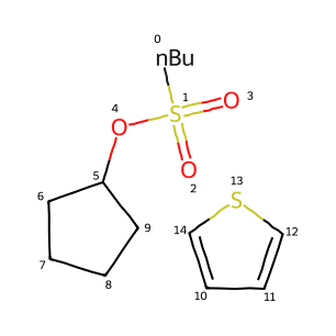 CCCCS(=O)(=O)OC1CCCC1.c1ccsc1